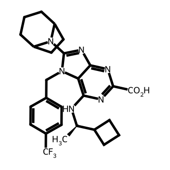 C[C@@H](Nc1nc(C(=O)O)nc2nc(N3C4CCCC3CC4)n(Cc3ccc(C(F)(F)F)cc3)c12)C1CCC1